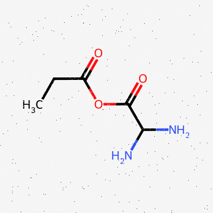 CCC(=O)OC(=O)C(N)N